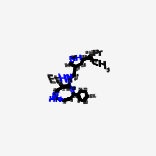 CCc1cn[nH]ccc(-c2ccccc2)nc1NCC(C=N)C/C=C(\C)C(C)C